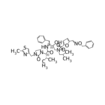 Cc1nc(CN2CCN([C@H](C(=O)N[C@@H](Cc3ccccc3)[C@@H](O)CN(CC(C)C)S(=O)(=O)c3ccc(C=NOCc4ccccc4)o3)C(C)C)C2=O)cs1